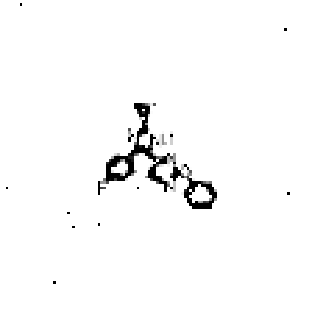 Fc1ccc(-c2nc(C3CC3)[nH]c2-c2ccnc(Oc3ccccc3)n2)cc1